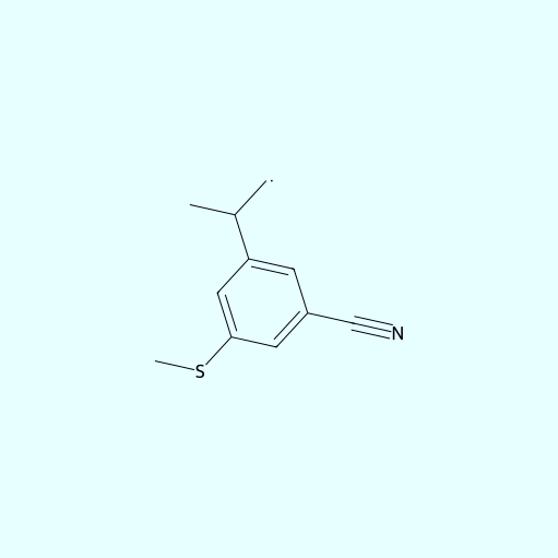 [CH2]C(C)c1cc(C#N)cc(SC)c1